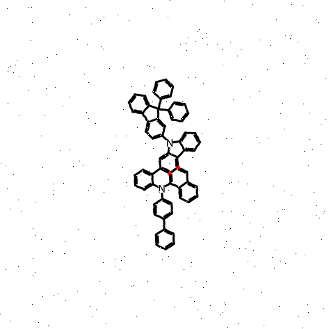 c1ccc(-c2ccc(N(c3ccccc3-c3ccc4c5ccccc5n(-c5ccc6c(c5)C(c5ccccc5)(c5ccccc5)c5ccccc5-6)c4c3)c3cccc4ccccc34)cc2)cc1